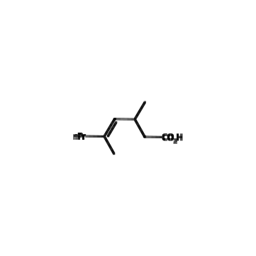 CCCC(C)=CC(C)CC(=O)O